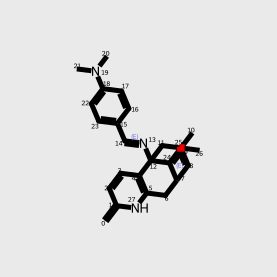 C=C1C=CC2=C(CC3C=C(C)CC2(/N=C/c2ccc(N(C)C)cc2)/C3=C/C)N1